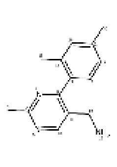 Cc1ccc(-c2nc(C)ncc2CN)c(C)c1